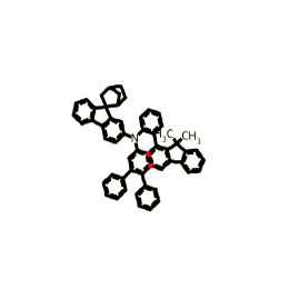 CC1(C)c2ccccc2-c2cccc(-c3ccccc3N(c3ccc(-c4ccccc4)c(-c4ccccc4)c3)c3ccc4c(c3)C3(CC5CCC3C5)c3ccccc3-4)c21